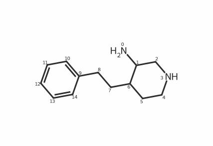 NC1CNCCC1CCc1ccccc1